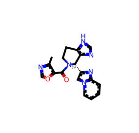 Cc1ncoc1C(=O)N1CCc2[nH]cnc2[C@@H]1c1cn2ccccc2n1